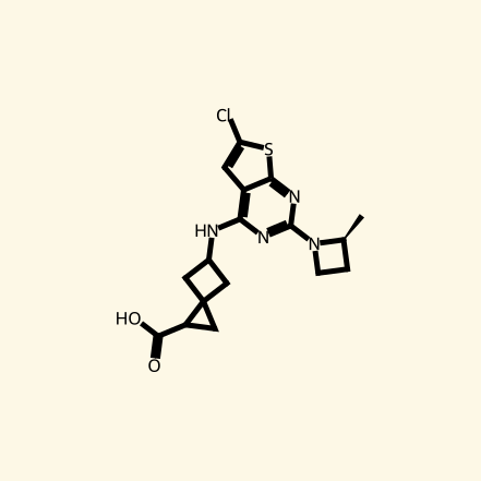 C[C@H]1CCN1c1nc(NC2CC3(C2)CC3C(=O)O)c2cc(Cl)sc2n1